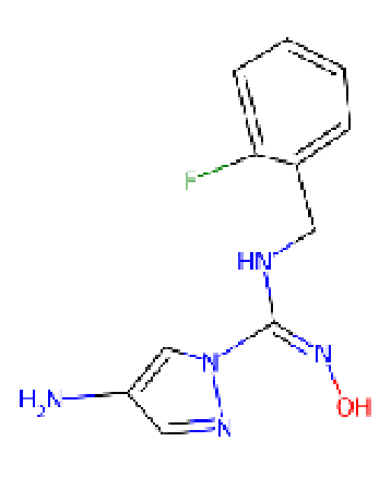 Nc1cnn(C(=NO)NCc2ccccc2F)c1